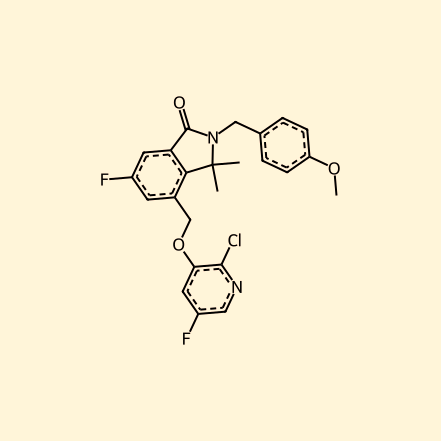 COc1ccc(CN2C(=O)c3cc(F)cc(COc4cc(F)cnc4Cl)c3C2(C)C)cc1